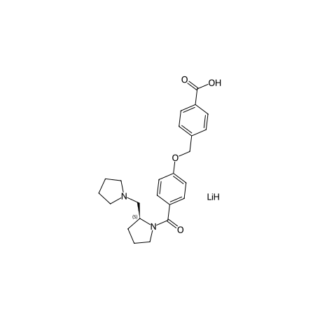 O=C(O)c1ccc(COc2ccc(C(=O)N3CCC[C@H]3CN3CCCC3)cc2)cc1.[LiH]